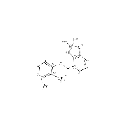 CC(C)c1cccc(CC(C)c2cccc3c2OC(F)(F)O3)c1C(F)(F)F